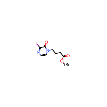 CC(C)(C)OC(=O)CCCn1ccnc(I)c1=O